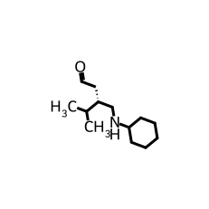 CC(C)[C@H](CC=O)CNC1CCCCC1